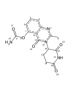 Cc1nc2cccc(OC(N)=O)c2c(=O)n1C1CCC(=O)NC1=O